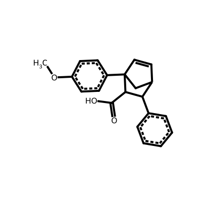 COc1ccc(C23C=CC(C2)C(c2ccccc2)C3C(=O)O)cc1